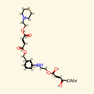 COC(=O)/C=C/C(=O)OCCNc1cccc(COC(=O)/C=C/C(=O)OCCN2CCSCC2)c1